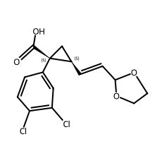 O=C(O)[C@@]1(c2ccc(Cl)c(Cl)c2)C[C@H]1C=CC1OCCO1